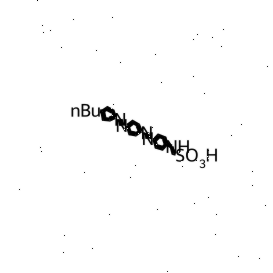 CCCCc1ccc(N=Nc2ccc(N=Nc3ccc(NCS(=O)(=O)O)cc3)cc2)cc1